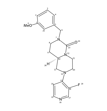 COc1cccc(CN2CC[C@@H]3CN(c4ccncc4F)CCN3C2=O)c1